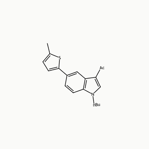 CCCCn1cc(C(C)=O)c2cc(-c3ccc(C)s3)ccc21